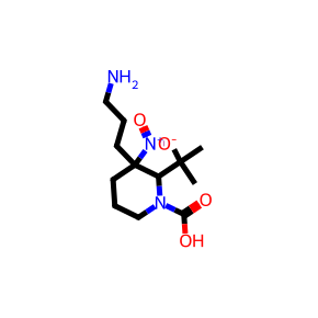 CC(C)(C)C1N(C(=O)O)CCCC1(CCCN)[N+](=O)[O-]